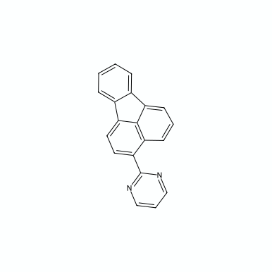 c1cnc(-c2ccc3c4c(cccc24)-c2ccccc2-3)nc1